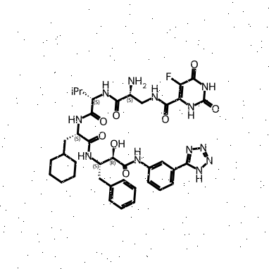 CC(C)[C@H](NC(=O)[C@@H](N)CNC(=O)c1[nH]c(=O)[nH]c(=O)c1F)C(=O)N[C@@H](CC1CCCCC1)C(=O)N[C@@H](Cc1ccccc1)[C@@H](O)C(=O)Nc1cccc(-c2nnn[nH]2)c1